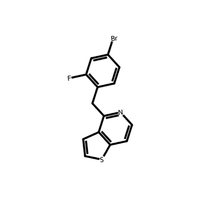 Fc1cc(Br)ccc1Cc1nccc2sccc12